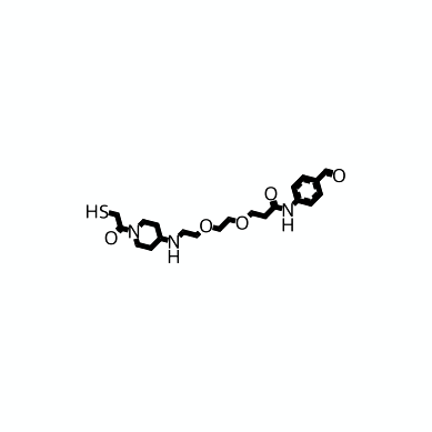 O=Cc1ccc(NC(=O)CCOCCOCCNC2CCN(C(=O)CS)CC2)cc1